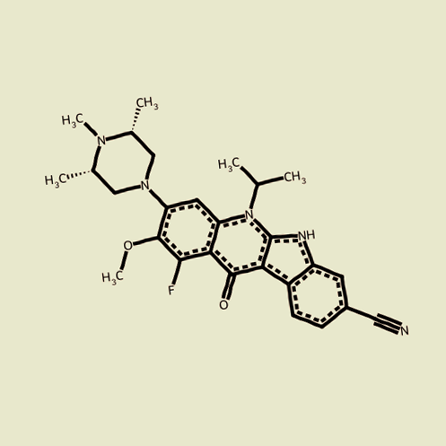 COc1c(N2C[C@@H](C)N(C)[C@@H](C)C2)cc2c(c1F)c(=O)c1c3ccc(C#N)cc3[nH]c1n2C(C)C